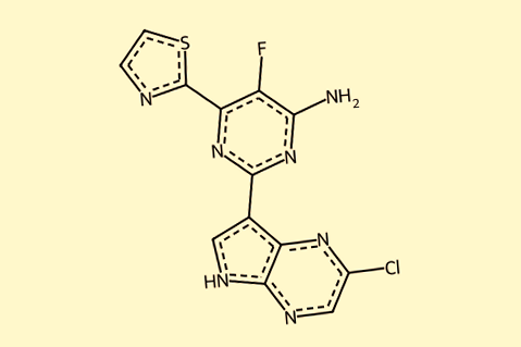 Nc1nc(-c2c[nH]c3ncc(Cl)nc23)nc(-c2nccs2)c1F